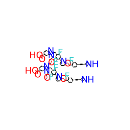 COCCn1c(Cc2cc(F)c(-c3cccc(OCc4ccc(C#CC5CNC5)cc4F)n3)cc2F)nc2ccc(C(=O)O)cc21.COCCn1c(Cc2cc(F)c(-c3cccc(OCc4ccc(C#CC5CNC5)cc4F)n3)cc2F)nc2ccc(C(=O)O)cc21